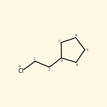 Cl[CH]CC1CCCC1